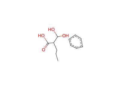 CCCC(C(=O)O)C(O)O.c1ccccc1